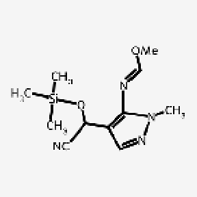 COC=Nc1c(C(C#N)O[Si](C)(C)C)cnn1C